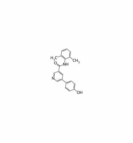 Cc1cccc(C)c1NC(=O)c1cncc(-c2ccc(O)cc2)c1